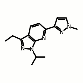 CCc1nn(C(C)C)c2nc(-c3ccn(C)n3)ccc12